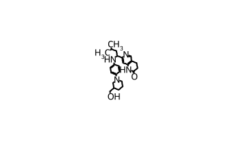 CC(C)CC(Nc1ccc(N2CCCC(CO)C2)cc1)c1cc2c(cn1)CCC(=O)N2